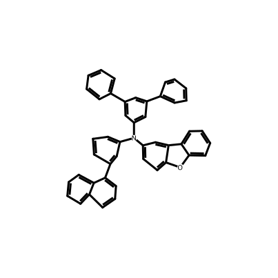 c1ccc(-c2cc(-c3ccccc3)cc(N(c3cccc(-c4cccc5ccccc45)c3)c3ccc4oc5ccccc5c4c3)c2)cc1